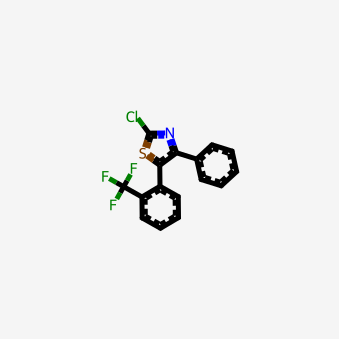 FC(F)(F)c1ccccc1-c1sc(Cl)nc1-c1ccccc1